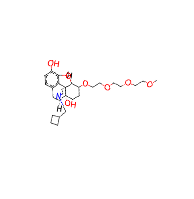 COCCOCCOCCOC1CC[C@@]2(O)[C@H]3Cc4ccc(O)c5c4[C@@]2(CCN3CC2CCC2)[C@H]1O5